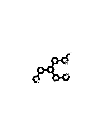 FCc1cncc(-c2cccc(-c3cc(-c4cccc(-c5cccnc5)c4)cc(-c4cccc(-c5cccnc5)c4)c3)c2)c1